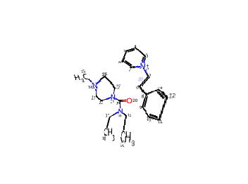 C(=C\[n+]1ccccc1)/c1ccccc1.CCN(CC)C(=O)N1CCN(C)CC1